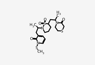 CSn1cccc(CC(C)N2CCCC(CC(C)N3CCSCC3=O)S2(=O)=O)c1=O